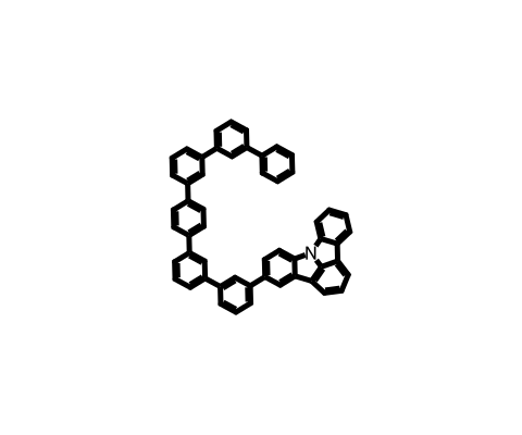 c1ccc(-c2cccc(-c3cccc(-c4ccc(-c5cccc(-c6cccc(-c7ccc8c(c7)c7cccc9c%10ccccc%10n8c97)c6)c5)cc4)c3)c2)cc1